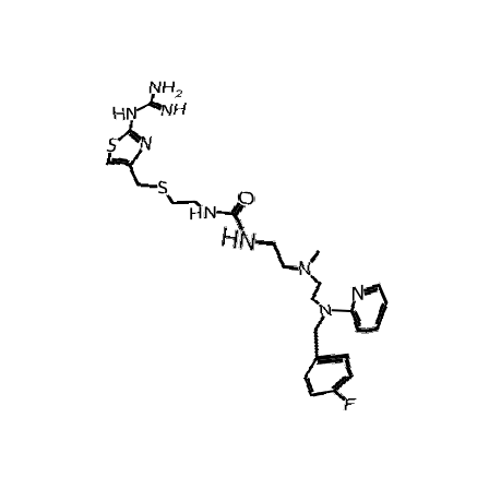 CN(CCNC(=O)NCCSCc1csc(NC(=N)N)n1)CCN(Cc1ccc(F)cc1)c1ccccn1